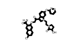 NC(=O)c1cc2cc(Cl)ccc2cc1OCC(=O)c1cn(CCN2CCC(O)C2=O)c2cc(Oc3cccnn3)ccc12